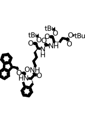 Cc1ccccc1C[C@H](NC(=O)OCC1c2ccccc2-c2ccccc21)C(=O)NCCCC[C@H](NC(=O)N[C@@H](CCC(=O)OC(C)(C)C)C(=O)OC(C)(C)C)C(=O)OC(C)(C)C